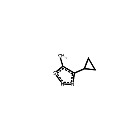 Cc1snnc1C1CC1